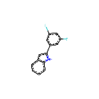 Fc1cc(F)cc(-c2cc3c[c]ccc3[nH]2)c1